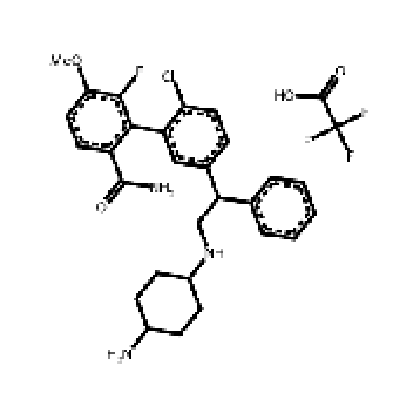 COc1ccc(C(N)=O)c(-c2cc(C(CNC3CCC(N)CC3)c3ccccc3)ccc2Cl)c1F.O=C(O)C(F)(F)F